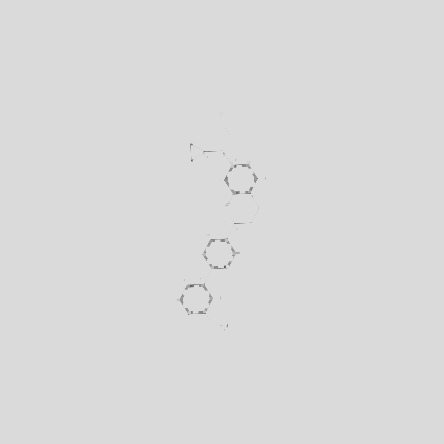 CSc1cccc(-c2ccc(C3CCc4ccc([C@@H](CC(=O)O)C5CC5)cc4O3)cc2)c1